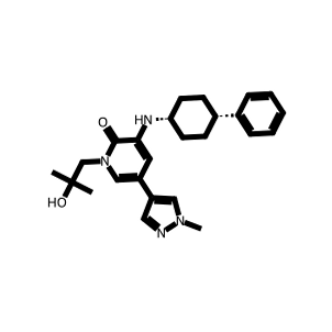 Cn1cc(-c2cc(N[C@H]3CC[C@@H](c4ccccc4)CC3)c(=O)n(CC(C)(C)O)c2)cn1